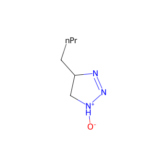 CCCCC1C[NH+]([O-])N=N1